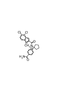 Cn1c(C(=O)NC2(c3ccc(C(N)=O)cc3)CCCC2)cc2c(Cl)c(Cl)ccc21